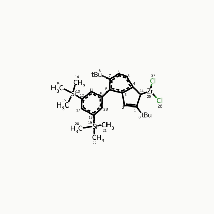 CC(C)(C)C1=Cc2c(ccc(C(C)(C)C)c2-c2cc([Si](C)(C)C)cc([Si](C)(C)C)c2)[CH]1[Zr]([Cl])[Cl]